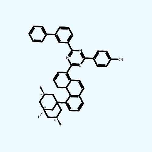 C[C@@H]1C[C@@H]2C[C@H](C)CC(c3cccc4c3C3CC=CC(c5nc(-c6ccc(C#N)cc6)nc(-c6cccc(-c7ccccc7)c6)n5)=C3C=C4)(C1)C2